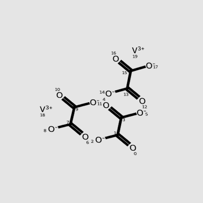 O=C([O-])C(=O)[O-].O=C([O-])C(=O)[O-].O=C([O-])C(=O)[O-].[V+3].[V+3]